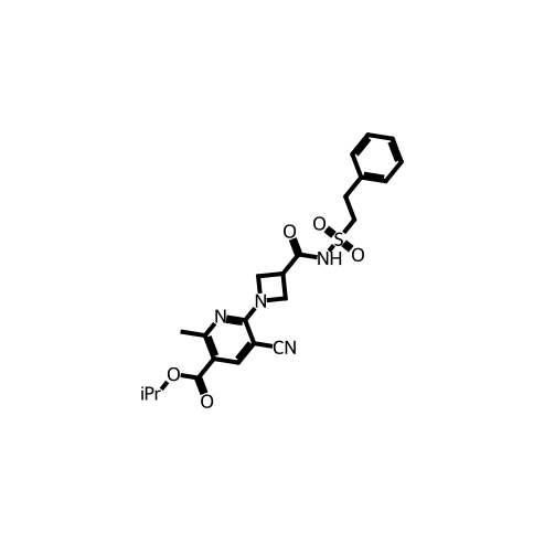 Cc1nc(N2CC(C(=O)NS(=O)(=O)CCc3ccccc3)C2)c(C#N)cc1C(=O)OC(C)C